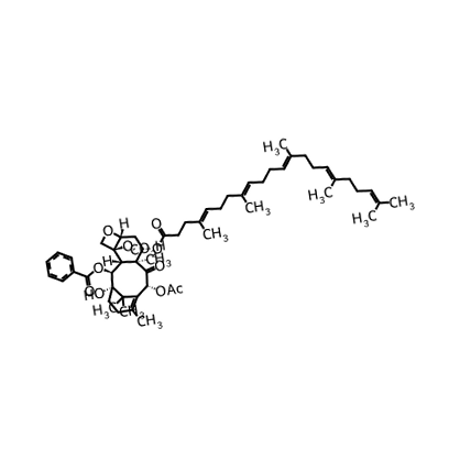 CC(=O)O[C@H]1C(=O)[C@]2(C)[C@@H](OC(=O)CC/C(C)=C/CC/C(C)=C/CC/C=C(\C)CC/C=C(\C)CCC=C(C)C)C[C@H]3OC[C@@]3(OC(=O)O)[C@H]2[C@H](OC(=O)c2ccccc2)[C@]2(O)CCC(C)=C1C2(C)C